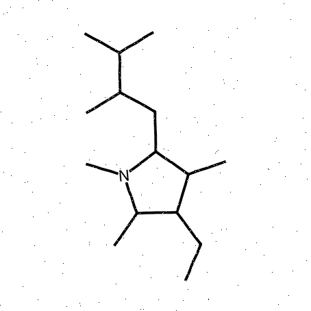 CCC1C(C)C(CC(C)C(C)C)N(C)C1C